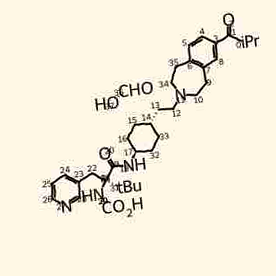 CC(C)C(=O)c1ccc2c(c1)CCN(CC[C@H]1CC[C@H](NC(=O)[C@](Cc3cccnc3)(NC(=O)O)C(C)(C)C)CC1)CC2.O=CO